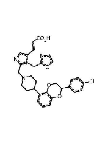 O=C(O)/C=C/c1cnc(CN2CCC(c3cccc4c3OC[C@@H](c3ccc(Cl)cc3)O4)CC2)n1Cc1ncco1